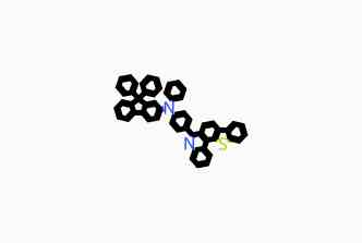 c1ccc(N(c2ccc(-c3nc4ccccc4c4c3ccc3c5ccccc5sc34)cc2)c2ccc3c(c2)C(c2ccccc2)(c2ccccc2)c2ccccc2-3)cc1